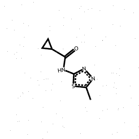 Cc1nnc(NC(=O)C2CC2)s1